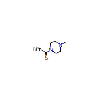 CCCC(=S)N1CCN(C)CC1